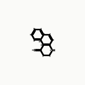 O=C1CCNc2ccc3ccccc3c21